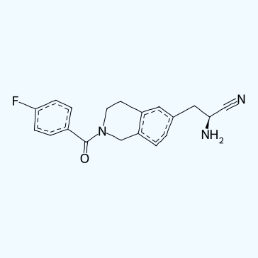 N#C[C@@H](N)Cc1ccc2c(c1)CCN(C(=O)c1ccc(F)cc1)C2